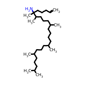 C=CCCCC(C)(N)C(C)CCCC(C)CCCCC(C)CCCC(C)CCCC(C)C